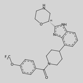 O=C(c1ccc(OC(F)(F)F)cc1)N1CCC(c2cccc3[nH]c([C@H]4CNCCO4)nc23)CC1